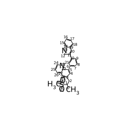 CC(Cc1cc(-c2cccc(-c3cnc4ccccc4c3)c2)c2ncccc2c1)S(C)(=O)=O